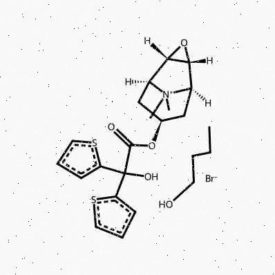 CCCCO.C[N+]1(C)[C@@H]2C[C@@H](OC(=O)C(O)(c3cccs3)c3cccs3)C[C@H]1[C@@H]1O[C@@H]12.[Br-]